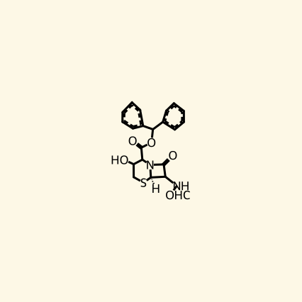 O=CNC1C(=O)N2C(C(=O)OC(c3ccccc3)c3ccccc3)C(O)CS[C@H]12